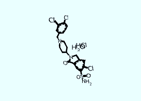 Cl.NS(=O)(=O)c1cc2c(cc1Cl)CN(C1CCN(Cc3ccc(Cl)c(Cl)c3)CC1)C2=O.O